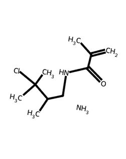 C=C(C)C(=O)NCC(C)C(C)(C)Cl.N